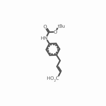 CC(C)(C)OC(=O)Nc1ccc(CC=CC(=O)O)cc1